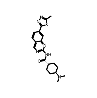 Cc1nnc(-c2ccc3cnc(NC(=O)[C@H]4CC[C@H](N(C)C)CC4)nc3c2)s1